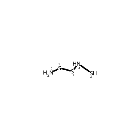 NSSNS